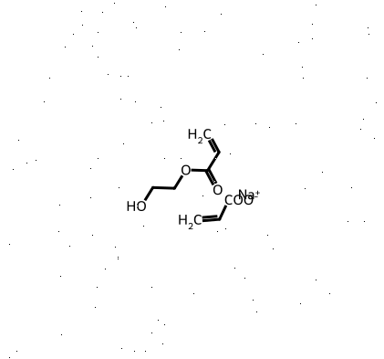 C=CC(=O)OCCO.C=CC(=O)[O-].[Na+]